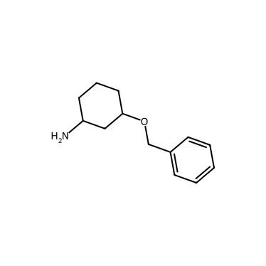 NC1CCCC(OCc2ccccc2)C1